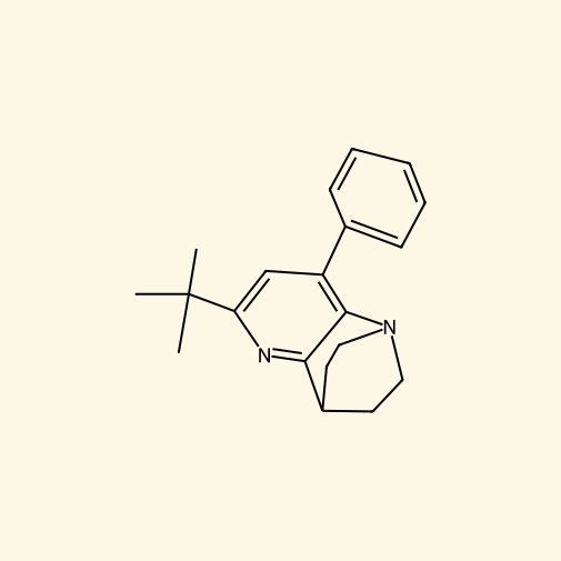 CC(C)(C)c1cc(-c2ccccc2)c2c(n1)C1CCN2CC1